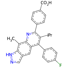 Cc1c2nc(-c3ccc(C(=O)O)cc3)c(C(C)C)c(-c3ccc(F)cc3)c2cc2cn[nH]c12